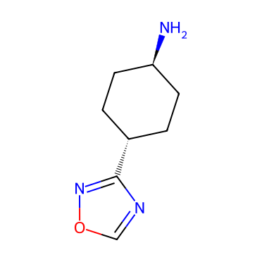 N[C@H]1CC[C@H](c2ncon2)CC1